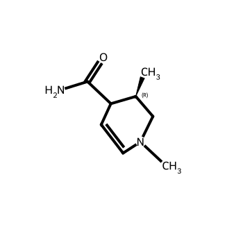 C[C@H]1CN(C)C=CC1C(N)=O